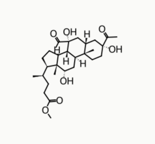 COC(=O)CC[C@@H](C)[C@H]1CC[C@H]2[C@H]3[C@H](C[C@H](O)[C@]12C)[C@@]1(C)CC[C@](O)(C(C)=O)C[C@H]1C[C@]3(O)C(C)=O